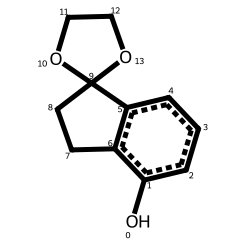 Oc1cccc2c1CCC21OCCO1